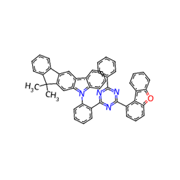 CC1(C)c2ccccc2-c2cc3c4ccccc4n(-c4ccccc4-c4nc(-c5ccccc5)nc(-c5cccc6oc7ccccc7c56)n4)c3cc21